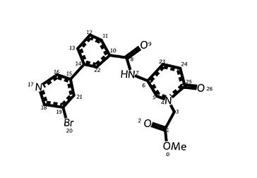 COC(=O)Cn1cc(NC(=O)c2cccc(-c3cncc(Br)c3)c2)ccc1=O